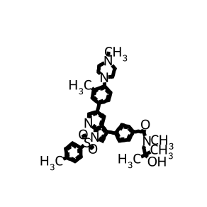 Cc1ccc(S(=O)(=O)n2cc(-c3ccc(C(=O)N(C)CC(C)(C)O)cc3)c3cc(-c4ccc(N5CCN(C)CC5)c(C)c4)cnc32)cc1